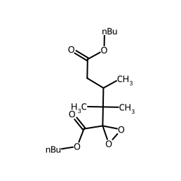 CCCCOC(=O)CC(C)C(C)(C)C1(C(=O)OCCCC)OO1